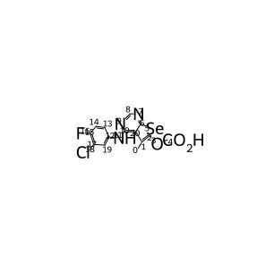 Cc1c(OC(=O)O)[se]c2ncnc(Nc3ccc(F)c(Cl)c3)c12